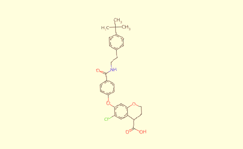 CC(C)(C)c1ccc(CCNC(=O)c2ccc(Oc3cc4c(cc3Cl)C(C(=O)O)CCO4)cc2)cc1